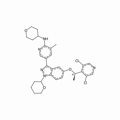 Cc1cc(-c2nn(C3CCCCO3)c3ccc(O[C@H](C)c4c(Cl)cncc4Cl)cc23)cnc1NC1CCOCC1